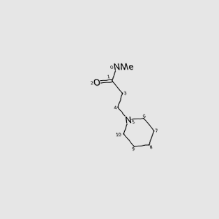 [CH2]NC(=O)CCN1CCCCC1